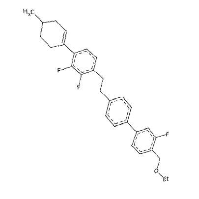 CCOCc1ccc(-c2ccc(CCc3ccc(C4=CCC(C)CC4)c(F)c3F)cc2)cc1F